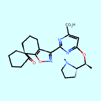 C[C@H](Oc1cc(C(=O)O)nc(-c2noc3c2CCC[C@@]32CCCCC2=O)n1)[C@@H]1CCCN1C